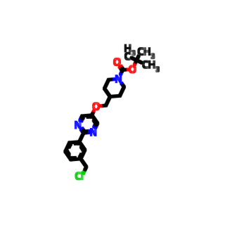 CC(C)(C)OC(=O)N1CCC(COc2cnc(-c3cccc(CCl)c3)nc2)CC1